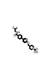 O=C(NCC(F)F)C1CC=C(c2ccc(OCC3CCN(C(=O)O)CC3)nc2)CC1